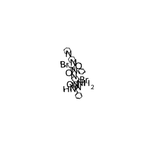 NC1(n2nc(-c3ccccc3)[nH]c2=O)CCN(C(=O)N(c2ccccc2)[C@@H](CBr)C(=O)N2CCC(N3CCCCC3)CC2)CC1Br